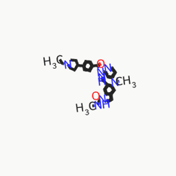 CCN1CCC(c2ccc(C(=O)Nc3cc(N(C)c4cc5ccn(C(=O)NC)c5cc4C#N)ccn3)cc2)CC1